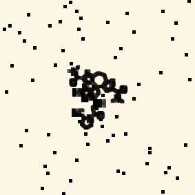 CN(C)C(=O)c1cc2c(s1)CCc1sc(C(=O)N(C)C)cc1C2(CCNCC(=O)N1CCCC1C#N)c1nn[nH]n1